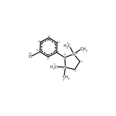 C[Si]1(C)CC[Si](C)(C)N1c1cccc(Cl)c1